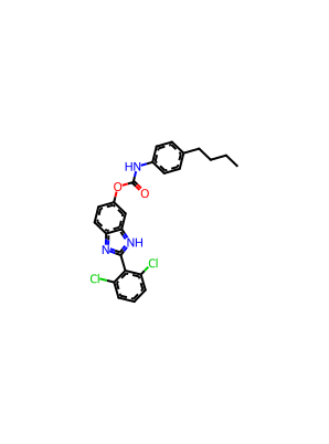 CCCCc1ccc(NC(=O)Oc2ccc3nc(-c4c(Cl)cccc4Cl)[nH]c3c2)cc1